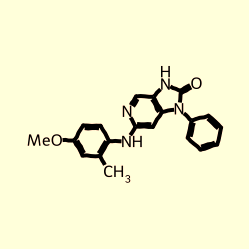 COc1ccc(Nc2cc3c(cn2)[nH]c(=O)n3-c2ccccc2)c(C)c1